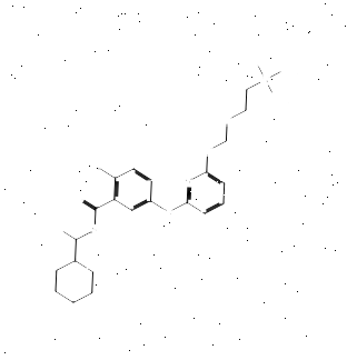 C[Si](C)(C)CCOCOc1cccc(Nc2ccc(Cl)c(C(=O)NC(O)C3CCCCC3)c2)n1